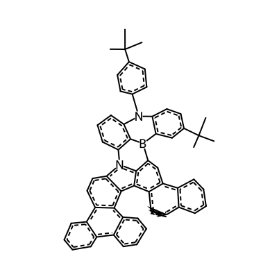 CC(C)(C)c1ccc(N2c3ccc(C(C)(C)C)cc3B3c4c2cccc4-n2c4ccc5c6ccccc6c6ccccc6c5c4c4c5c6ccccc6c6ccccc6c5cc3c42)cc1